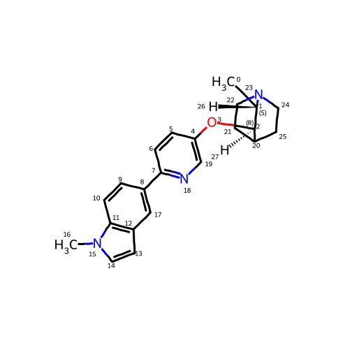 C[C@H]1[C@H](Oc2ccc(-c3ccc4c(ccn4C)c3)nc2)C2CCN1CC2